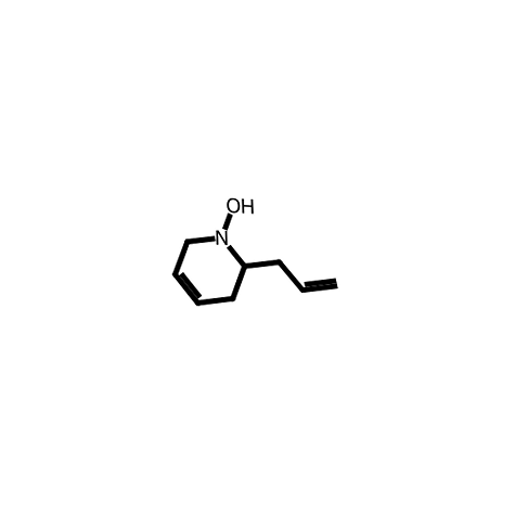 C=CCC1CC=CCN1O